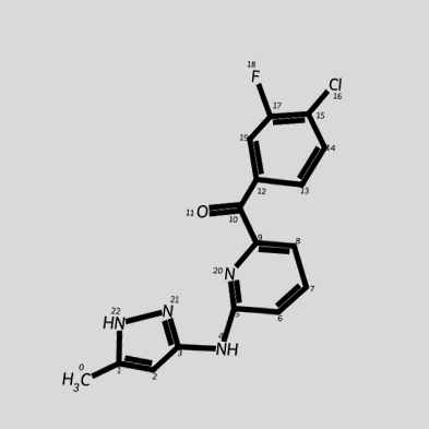 Cc1cc(Nc2cccc(C(=O)c3ccc(Cl)c(F)c3)n2)n[nH]1